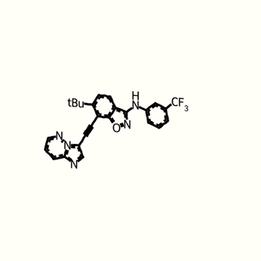 CC(C)(C)c1ccc2c(Nc3cccc(C(F)(F)F)c3)noc2c1C#Cc1cnc2cccnn12